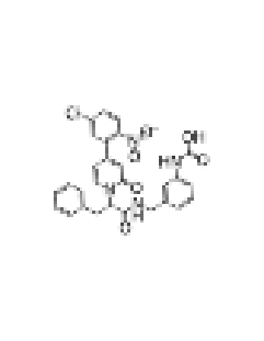 O=C(O)Nc1cccc(CNC(=O)C(Cc2ccccc2)n2ccc(-c3cc(Cl)ccc3[N+](=O)[O-])cc2=O)c1